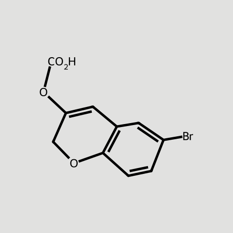 O=C(O)OC1=Cc2cc(Br)ccc2OC1